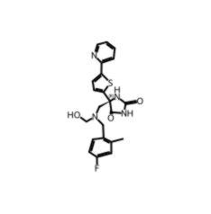 Cc1cc(F)ccc1CN(CO)C[C@@]1(c2ccc(-c3ccccn3)s2)NC(=O)NC1=O